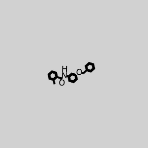 Cc1ccccc1C(=O)Nc1cccc(OCc2ccccc2)c1